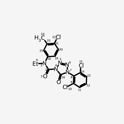 CCN(C(=O)n1nnn(-c2c(Cl)cccc2Cl)c1=O)c1ccc(Cl)c(C)c1